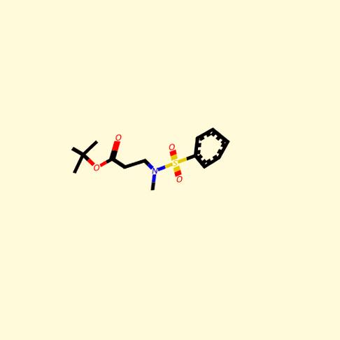 CN(CCC(=O)OC(C)(C)C)S(=O)(=O)c1ccccc1